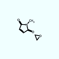 C1CO1.CN1C(=O)C=CC1=O